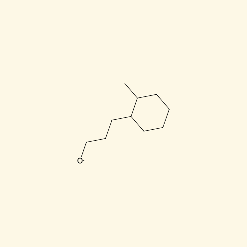 CC1CCCCC1CCC[O]